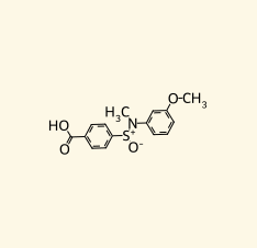 COc1cccc(N(C)[S+]([O-])c2ccc(C(=O)O)cc2)c1